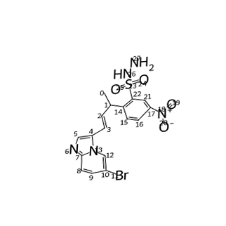 CC(C=Cc1cnc2ccc(Br)cn12)c1ccc([N+](=O)[O-])cc1S(=O)(=O)NN